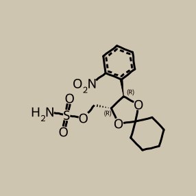 NS(=O)(=O)OC[C@H]1OC2(CCCCC2)O[C@@H]1c1ccccc1[N+](=O)[O-]